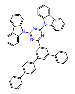 c1ccc(-c2ccc(-c3cc(-c4ccccc4)cc(-c4nc(-n5c6ccccc6c6ccccc65)nc(-n5c6ccccc6c6ccccc65)n4)c3)cc2)cc1